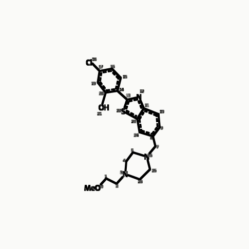 COCCN1CCN(Cc2ccc3nc(-c4ccc(Cl)cc4O)sc3c2)CC1